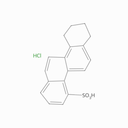 Cl.O=S(=O)(O)c1cccc2ccc3c4c(ccc3c12)CCCC4